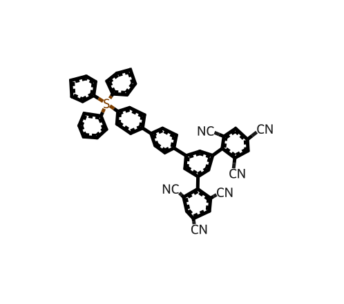 N#Cc1cc(C#N)c(-c2cc(-c3ccc(-c4ccc(S(c5ccccc5)(c5ccccc5)c5ccccc5)cc4)cc3)cc(-c3c(C#N)cc(C#N)cc3C#N)c2)c(C#N)c1